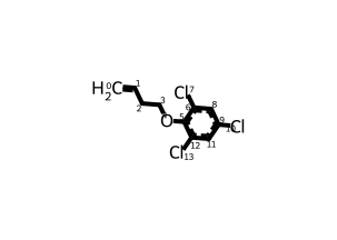 C=CCCOc1c(Cl)cc(Cl)cc1Cl